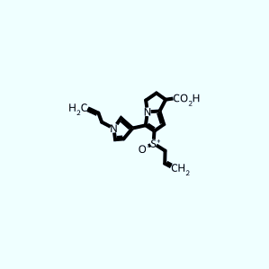 C=CCn1ccc(-c2c([S+]([O-])CC=C)cc3n2CCC3C(=O)O)c1